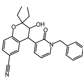 CCC1(CC)Oc2ccc(C#N)cc2C(c2cccn(Cc3ccccc3)c2=O)C1O